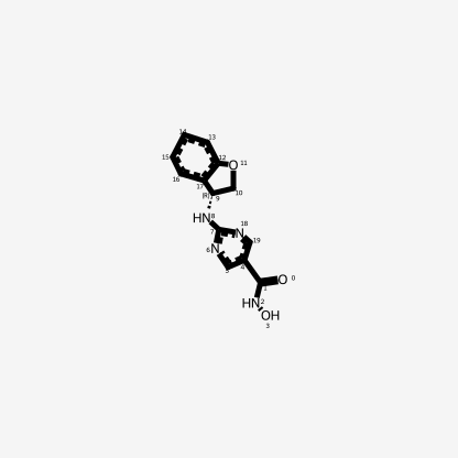 O=C(NO)c1cnc(N[C@H]2COc3ccccc32)nc1